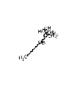 CCCCCCCCCCCCOC(=O)CCc1ccc(OP(O)O)c(C(C)(C)C)c1